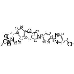 CCc1cnc(-c2ccc(N3CCC(Oc4ccc5c(c4)CCN(S(C)(=O)=O)C5)C3)cc2)nc1